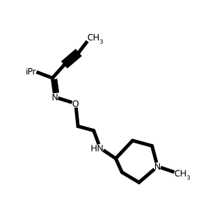 CC#C/C(=N\OCCNC1CCN(C)CC1)C(C)C